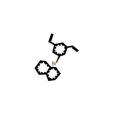 C=Cc1cc(Br)cc(C=C)c1.c1ccc2ccccc2c1